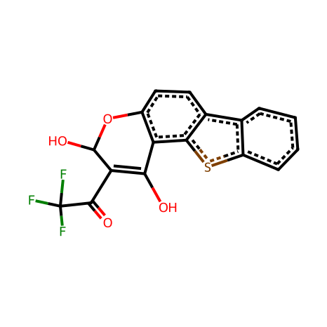 O=C(C1=C(O)c2c(ccc3c2sc2ccccc23)OC1O)C(F)(F)F